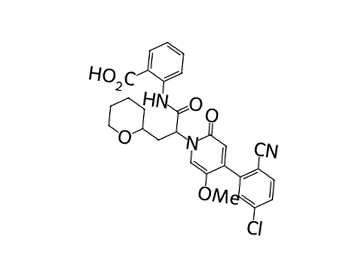 COc1cn(C(CC2CCCCO2)C(=O)Nc2ccccc2C(=O)O)c(=O)cc1-c1cc(Cl)ccc1C#N